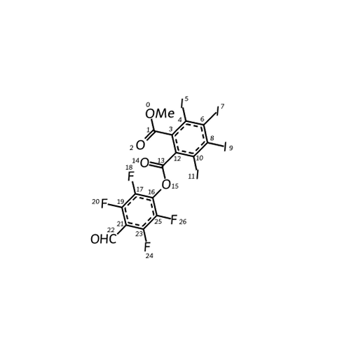 COC(=O)c1c(I)c(I)c(I)c(I)c1C(=O)Oc1c(F)c(F)c(C=O)c(F)c1F